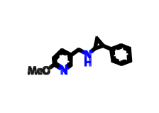 COc1ccc(CNC2CC2c2ccccc2)cn1